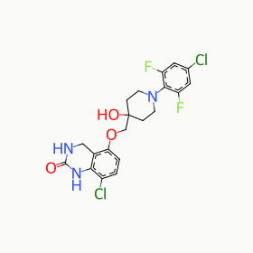 O=C1NCc2c(OCC3(O)CCN(c4c(F)cc(Cl)cc4F)CC3)ccc(Cl)c2N1